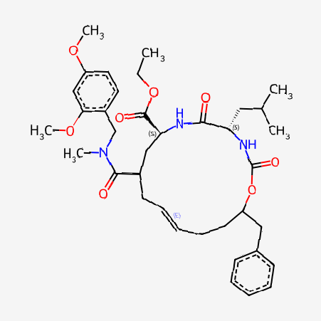 CCOC(=O)[C@@H]1CC(C(=O)N(C)Cc2ccc(OC)cc2OC)C/C=C/CCC(Cc2ccccc2)OC(=O)N[C@@H](CC(C)C)C(=O)N1